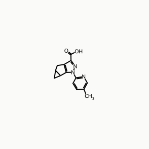 Cc1ccc(-n2nc(C(=O)O)c3c2C2CC2C3)nc1